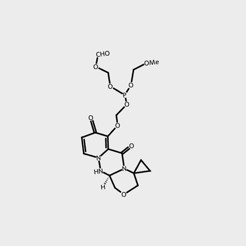 COCOP(OCOC=O)OCOc1c2n(ccc1=O)N[C@@H]1COCC3(CC3)N1C2=O